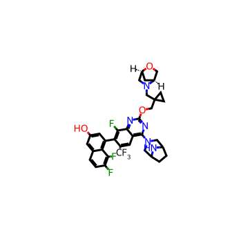 Oc1cc(-c2c(C(F)(F)F)cc3c(N4CC5CCC(C4)N5)nc(OCC4(CN5C[C@@H]6C[C@H]5CO6)CC4)nc3c2F)c2c(F)c(F)ccc2c1